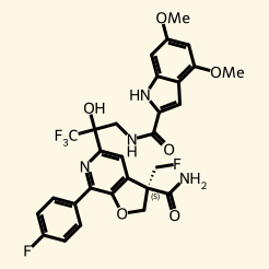 COc1cc(OC)c2cc(C(=O)NCC(O)(c3cc4c(c(-c5ccc(F)cc5)n3)OC[C@]4(CF)C(N)=O)C(F)(F)F)[nH]c2c1